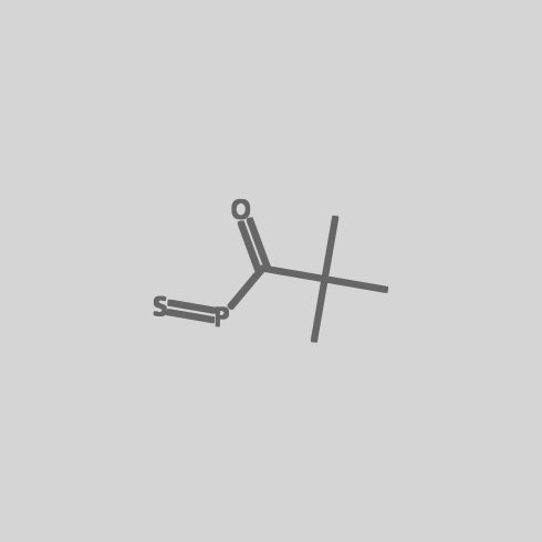 CC(C)(C)C(=O)P=S